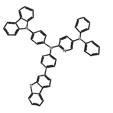 c1ccc(N(c2ccccc2)c2ccc(N(c3ccc(-c4ccc5c(c4)sc4ccccc45)cc3)c3ccc(-n4c5ccccc5c5ccccc54)cc3)nc2)cc1